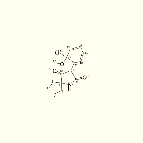 CCC1(CC)NC(=O)C(C2C=CC=CC2(Cl)OC)C1=O